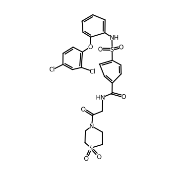 O=C(NCC(=O)N1CCS(=O)(=O)CC1)c1ccc(S(=O)(=O)Nc2ccccc2Oc2ccc(Cl)cc2Cl)cc1